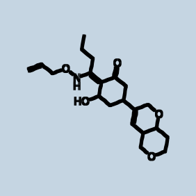 C=CCONC(CCC)=C1C(=O)CC(C2=CC3COCCC3OC2)CC1O